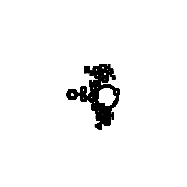 CC(C)(C)OC(=O)NC1CCCOC/C=C\C2CC2(C(=O)NS(=O)(=O)C2CC2)NC(=O)C2CC(OC(=O)c3ccccc3)CN2C1=O